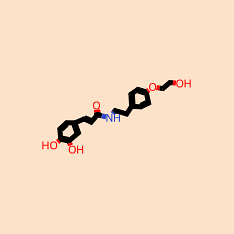 O=C(/C=C/c1ccc(O)c(O)c1)NCCc1ccc(OCCO)cc1